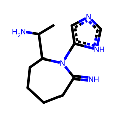 CC(N)C1CCCCC(=N)N1c1cnc[nH]1